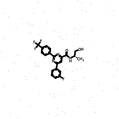 C[C@@H](CO)NC(=O)c1cc(-c2cccc(F)c2)nc(-c2ccc(C(F)(F)F)cc2)n1